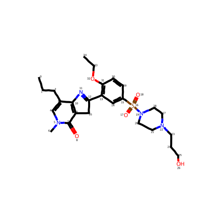 CCCc1cn(C)c(=O)c2c1N=C(c1cc(S(=O)(=O)N3CCN(CCCO)CC3)ccc1OCC)C2